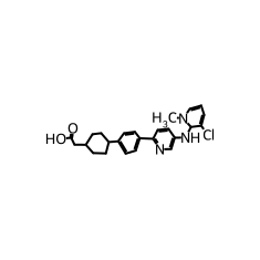 CN1C=CC=C(Cl)C1Nc1ccc(-c2ccc(C3CCC(CC(=O)O)CC3)cc2)nc1